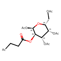 CC(=O)CCC(=O)O[C@H]1[C@@H](OC(C)=O)O[C@H](COC(C)=O)[C@H](OC(C)=O)[C@@H]1OC(C)=O